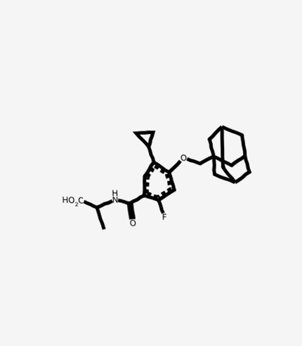 CC(NC(=O)c1cc(C2CC2)c(OCC23CC4CC(CC(C4)C2)C3)cc1F)C(=O)O